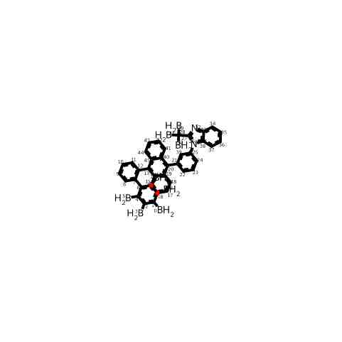 Bc1c(B)c(B)c(-c2ccccc2-c2c3ccccc3c(-c3cccc(-n4c(C(B)(B)B)nc5ccccc54)c3)c3ccccc23)c(B)c1B